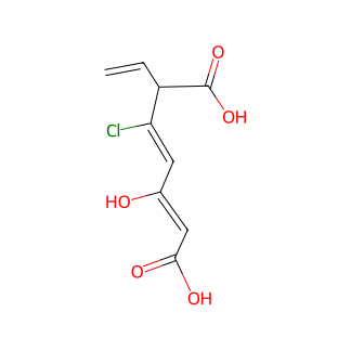 C=CC(C(=O)O)C(Cl)=CC(O)=CC(=O)O